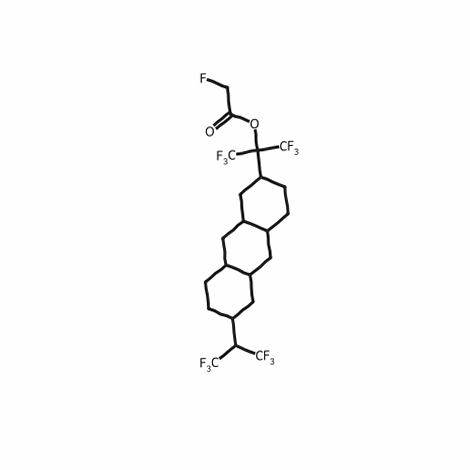 O=C(CF)OC(C1CCC2CC3CC(C(C(F)(F)F)C(F)(F)F)CCC3CC2C1)(C(F)(F)F)C(F)(F)F